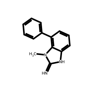 Cn1c(=N)[nH]c2cccc(-c3ccccc3)c21